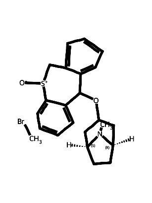 CBr.CN1[C@@H]2CC[C@H]1CC(OC1c3ccccc3C[S+]([O-])c3ccccc31)C2